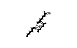 CC(O)CNCC(C)O.CCCCCCCCCCCCCCCC(=O)O